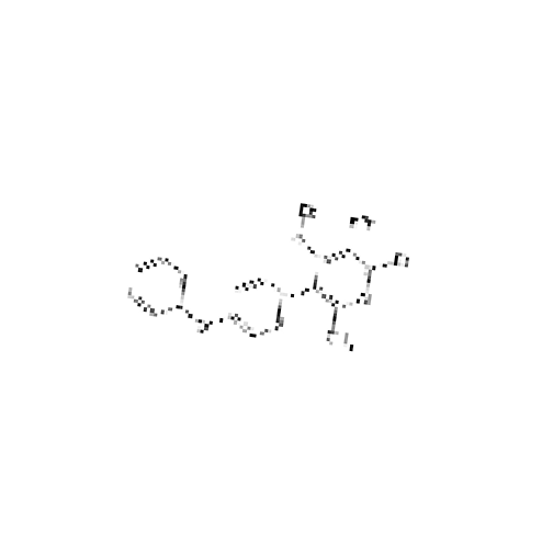 CCCc1c(CC)nc(C)c(-c2ccc(Oc3ccccc3)cc2)c1OCC